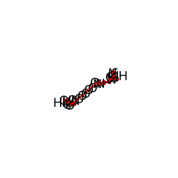 O=C1CCC(N2C(=O)c3cccc(NCCOCCOCCOCCOCCOCCC(=O)N4CCN(c5ccc(-c6ccc7c(c6)C(=O)N(C(C(=O)Nc6nccs6)c6ccccc6)C7)cc5)CC4)c3C2=O)C(=O)N1